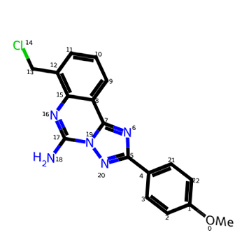 COc1ccc(-c2nc3c4cccc(CCl)c4nc(N)n3n2)cc1